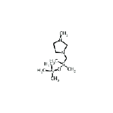 CN1CCN(C[Si](C)(C)O[Si](C)(C)C)C1